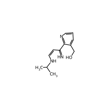 CC(C)N/C=C\C(=N)c1ncccc1CO